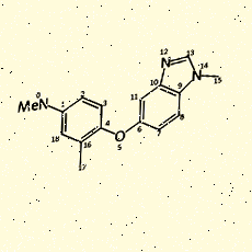 CNc1ccc(Oc2ccc3c(c2)ncn3C)c(C)c1